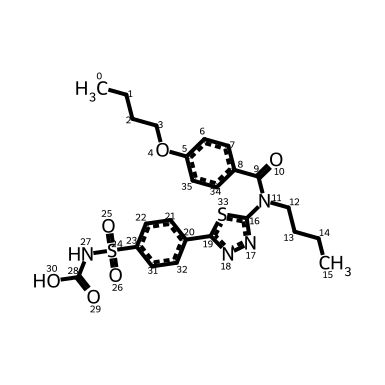 CCCCOc1ccc(C(=O)N(CCCC)c2nnc(-c3ccc(S(=O)(=O)NC(=O)O)cc3)s2)cc1